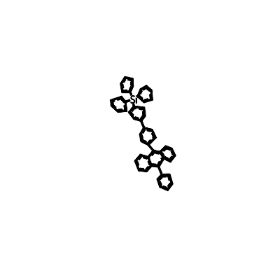 c1ccc(-c2c3ccccc3c(-c3ccc(-c4ccc([Si](c5ccccc5)(c5ccccc5)c5ccccc5)cc4)cc3)c3ccccc23)cc1